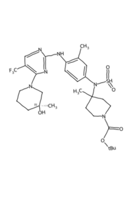 Cc1cc(N([SH](=O)=O)C2(C)CCN(C(=O)OC(C)(C)C)CC2)ccc1Nc1ncc(C(F)(F)F)c(N2CCC[C@](C)(O)C2)n1